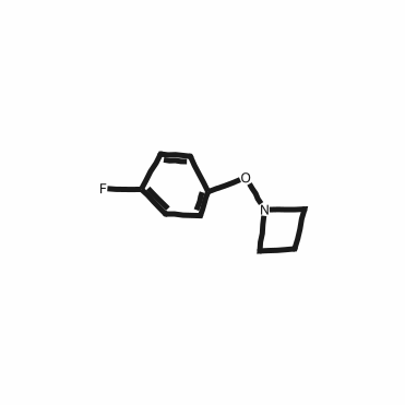 Fc1ccc(ON2CCC2)cc1